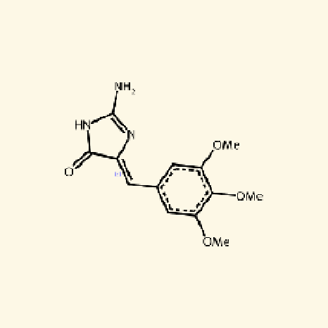 COc1cc(/C=C2\N=C(N)NC2=O)cc(OC)c1OC